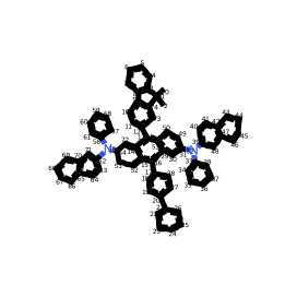 CC1(C)c2ccccc2-c2ccc(-c3c4c(c(-c5ccc(-c6ccccc6)cc5)c5cc(N(c6ccccc6)c6ccc7ccccc7c6)ccc35)=CCC(N(c3ccccc3)c3ccc5ccccc5c3)C=4)cc21